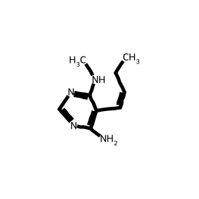 CC/C=C\c1c(N)ncnc1NC